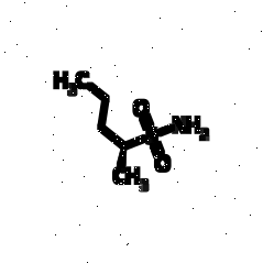 CCC[C@H](C)S(N)(=O)=O